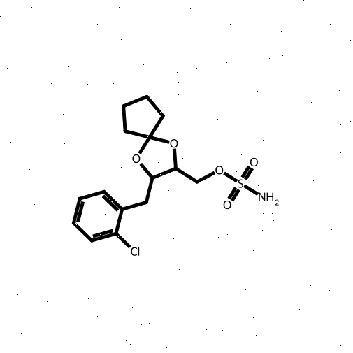 NS(=O)(=O)OCC1OC2(CCCC2)OC1Cc1ccccc1Cl